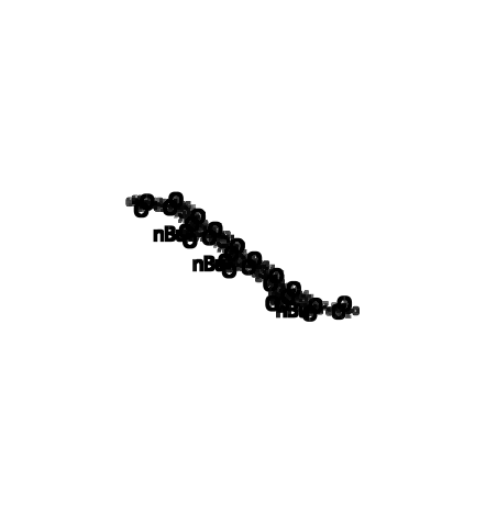 C=CC(=O)OCCCCOC(=O)C1CCC(C(=O)Oc2ccc(OC(=O)C3CCC(C(=O)Oc4ccc(OC(=O)C5CCC(C(=O)Oc6ccc(OC(=O)C7CCC(C(=O)OCCCCOC(=O)C=C)CC7)c(C(=O)OCCCC)c6)CC5)c(C(=O)OCCCC)c4)CC3)cc2C(=O)OCCCC)CC1